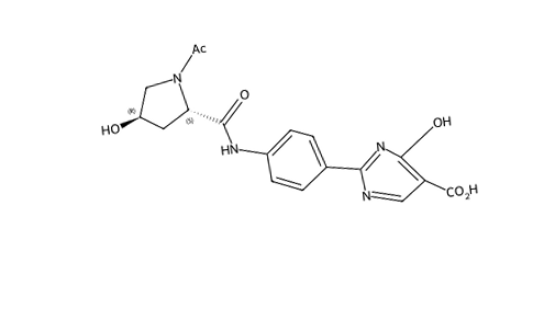 CC(=O)N1C[C@H](O)C[C@H]1C(=O)Nc1ccc(-c2ncc(C(=O)O)c(O)n2)cc1